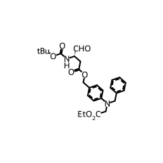 CCOC(=O)CN(Cc1ccccc1)c1ccc(COC(=O)C[C@@H](C=O)NC(=O)OC(C)(C)C)cc1